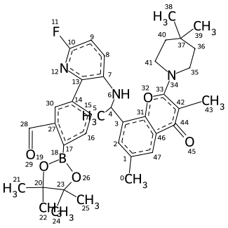 Cc1cc(C(C)Nc2ccc(F)nc2-c2ccc(B3OC(C)(C)C(C)(C)O3)c(C=O)c2)c2oc(N3CCC(C)(C)CC3)c(C)c(=O)c2c1